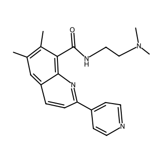 Cc1cc2ccc(-c3ccncc3)nc2c(C(=O)NCCN(C)C)c1C